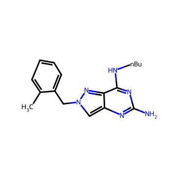 CCCCNc1nc(N)nc2cn(Cc3ccccc3C)nc12